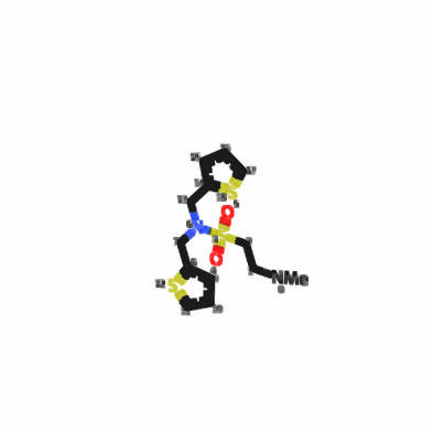 CNCCS(=O)(=O)N(Cc1cccs1)Cc1cccs1